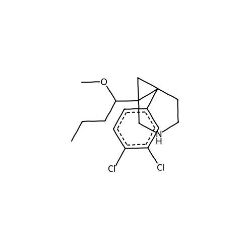 CCCC(OC)C12CNCCC1(c1ccc(Cl)c(Cl)c1)C2